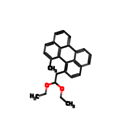 CCOC(Cc1ccc2cccc3c4cccc5ccc(C)c(c1c23)c54)OCC